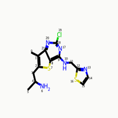 Cc1c(CC(C)N)sc2c(NCc3nccs3)nc(Cl)nc12